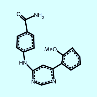 COc1ccccc1-c1cc(Nc2ccc(C(N)=O)cc2)ncn1